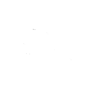 COc1ccc2nccc(CC[C@H]3CCN(C[C@@H]4CN(c5ccc6c(c5)NC(=O)CS6)C(=O)O4)C3)c2n1